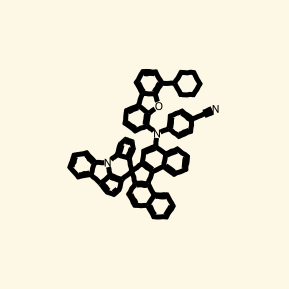 N#Cc1ccc(N(c2cc3c(c4ccccc24)-c2c(ccc4ccccc24)C32c3ccccc3-n3c4ccccc4c4cccc2c43)c2cccc3c2oc2c(C4CCCCC4)cccc23)cc1